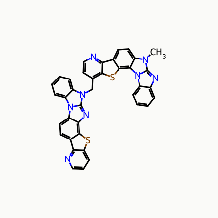 Cn1c2ccc3c4nccc(Cn5c6ccccc6n6c7ccc8c9ncccc9sc8c7nc56)c4sc3c2n2c3ccccc3nc12